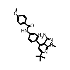 COc1ccc(C(=O)Nc2ccc(-c3cc(C(C)(C)C)nc4c3c(N)nn4C)cc2)cc1